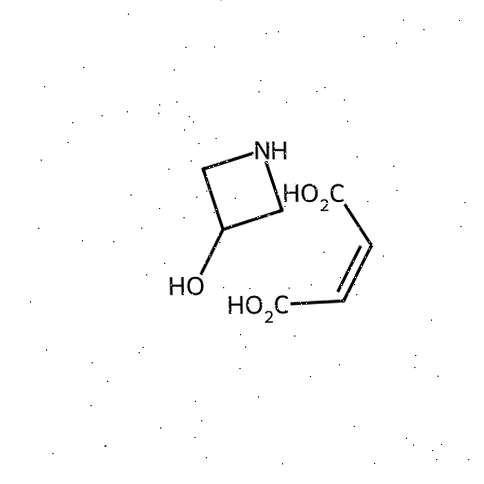 O=C(O)/C=C\C(=O)O.OC1CNC1